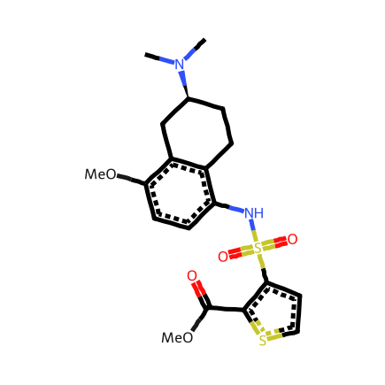 COC(=O)c1sccc1S(=O)(=O)Nc1ccc(OC)c2c1CC[C@H](N(C)C)C2